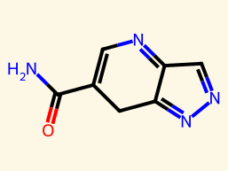 NC(=O)C1=CN=C2C=NN=C2C1